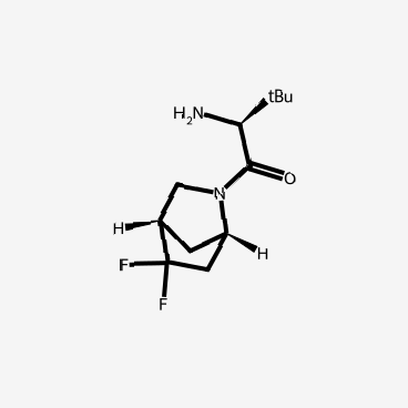 CC(C)(C)[C@H](N)C(=O)N1C[C@@H]2C[C@H]1CC2(F)F